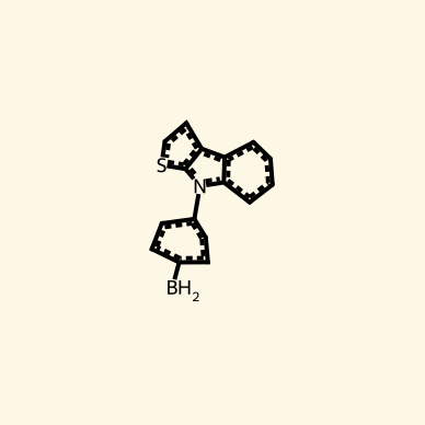 Bc1ccc(-n2c3ccccc3c3ccsc32)cc1